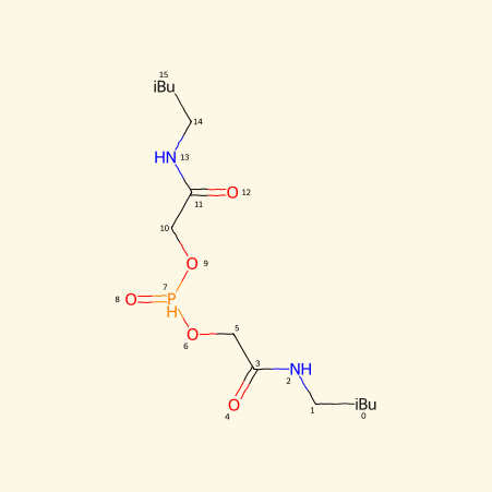 CCC(C)CNC(=O)CO[PH](=O)OCC(=O)NCC(C)CC